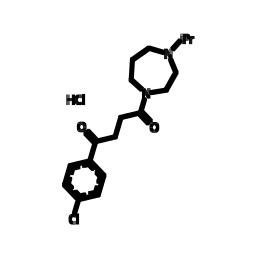 CC(C)N1CCCN(C(=O)CCC(=O)c2ccc(Cl)cc2)CC1.Cl